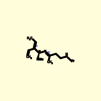 C=C/C(=C\C)[C@@H](/N=C(\C)CCNC(C)C)NC